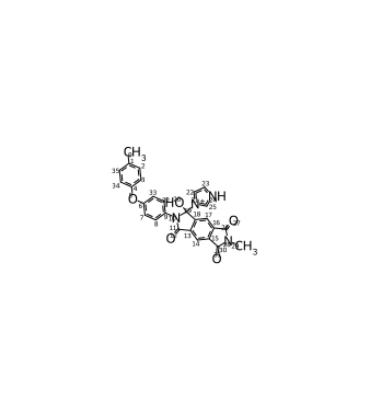 Cc1ccc(Oc2ccc(N3C(=O)c4cc5c(cc4C3(O)[n+]3cc[nH]c3)C(=O)N(C)C5=O)cc2)cc1